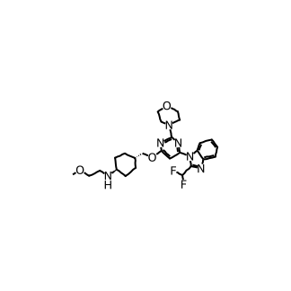 COCCN[C@H]1CC[C@H](COc2cc(-n3c(C(F)F)nc4ccccc43)nc(N3CCOCC3)n2)CC1